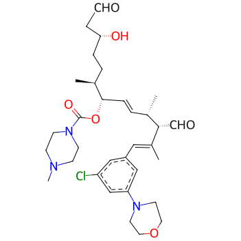 C/C(=C\c1cc(Cl)cc(N2CCOCC2)c1)[C@@H](C=O)[C@@H](C)/C=C/[C@H](OC(=O)N1CCN(C)CC1)[C@@H](C)CC[C@@H](O)CC=O